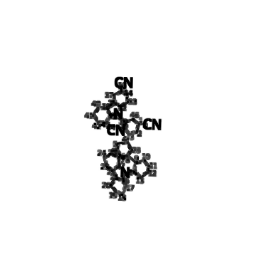 N#Cc1cc(-c2cccc(-c3ccccc3-n3c4ccccc4c4ccccc43)c2)cc(-n2c3ccc(C#N)cc3c3cccc(C#N)c32)c1